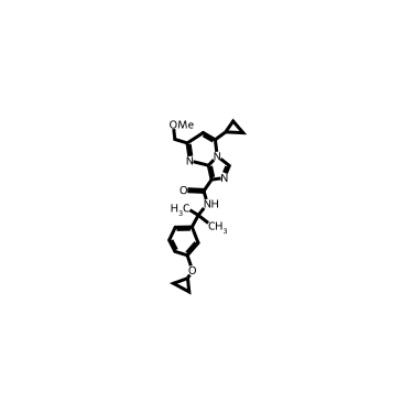 COCc1cc(C2CC2)n2cnc(C(=O)NC(C)(C)c3cccc(OC4CC4)c3)c2n1